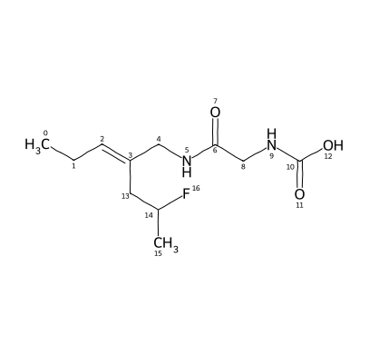 CC/C=C(/CNC(=O)CNC(=O)O)CC(C)F